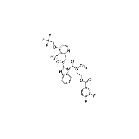 Cc1c(OCC(F)(F)F)ccnc1C[S+]([O-])c1nc2ccccc2n1C(=O)N(C)CCOC(=O)c1ccc(F)c(F)c1